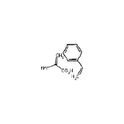 C=C(CCC)C(=O)O.C=Cc1ccccc1